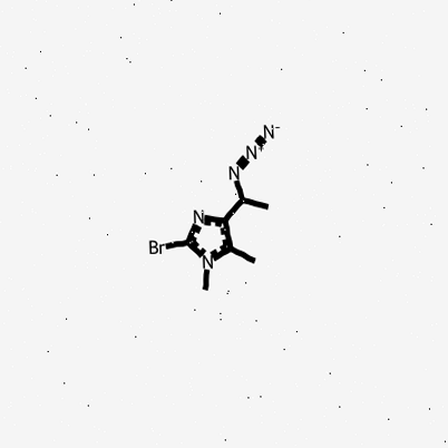 Cc1c(C(C)N=[N+]=[N-])nc(Br)n1C